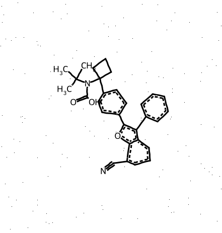 CC(C)(C)N(C(=O)O)C1(c2ccc(-c3oc4c(C#N)cccc4c3-c3ccccc3)cc2)CCC1